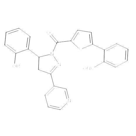 O=Cc1ccccc1-c1ccc(C(=O)N2N=C(c3cccnc3)CC2c2ccccc2O)s1